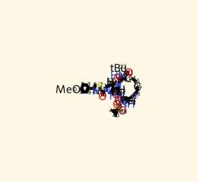 COc1ccc(-c2csc(C(=O)N3C[C@H]4CN5C(=O)[C@@H](NC(=O)C(C)(C)C)CCCCC/C=C\[C@H]6C[C@@]6(C(=O)NS(=O)(=O)C6CC6)NC(=O)[C@@H]5[C@H]4C3)n2)cc1